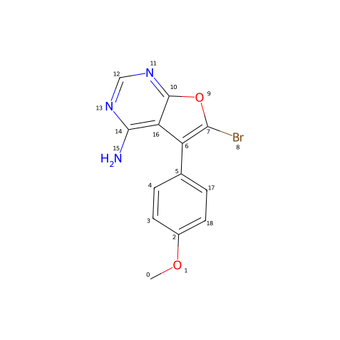 COc1ccc(-c2c(Br)oc3ncnc(N)c23)cc1